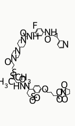 CC(C)(CC(=O)N/N=C1\CCS(=O)(=O)c2cc(OCCCC(=O)ON3C(=O)CCC3=O)ccc21)SSCCC(=O)N1CCN(C2CCN(C(=O)NCc3ccc(NC(=O)C4CC4c4cccnc4)cc3F)CC2)CC1